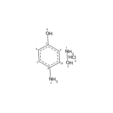 Cl.NO.Nc1ccc(O)cc1